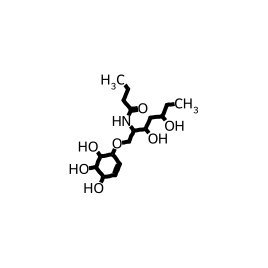 CCCC(=O)NC(COC1C=CC(O)C(O)C1O)C(O)CC(O)CC